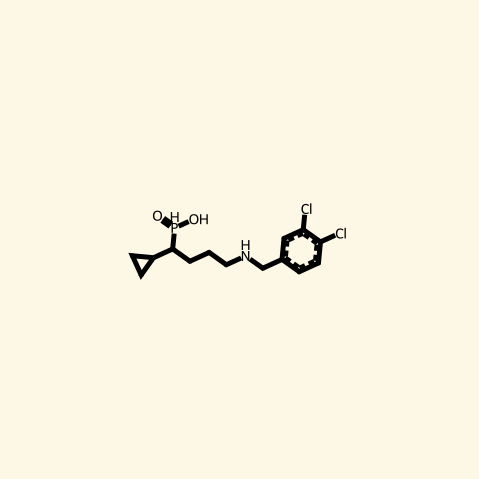 O=[PH](O)C(CCCNCc1ccc(Cl)c(Cl)c1)C1CC1